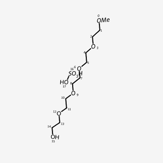 COCCOCCOCCOCCOCCO.O=S(=O)(O)O